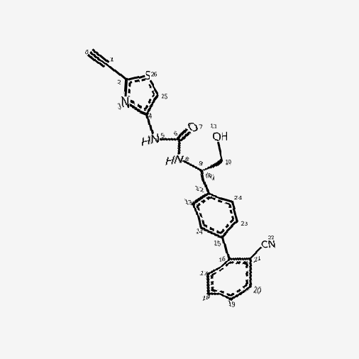 C#Cc1nc(NC(=O)N[C@@H](CO)c2ccc(-c3ccccc3C#N)cc2)cs1